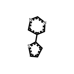 [c]1ccc(-c2cncnc2)s1